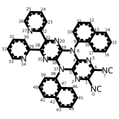 [C-]#[N+]c1nc2c(nc1[N+]#[C-])N(c1cccc3ccccc13)c1nc(-c3ccccn3)c(-c3ccccn3)nc1N2c1cccc2ccccc12